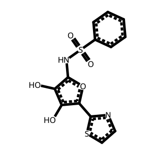 O=S(=O)(Nc1oc(-c2nccs2)c(O)c1O)c1ccccc1